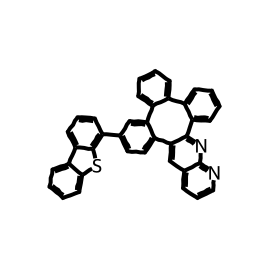 c1ccc2c(c1)-c1cc(-c3cccc4c3sc3ccccc34)ccc1-c1cc3cccnc3nc1-c1ccccc1-2